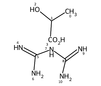 CC(O)C(=O)O.N=C(N)NC(=N)N